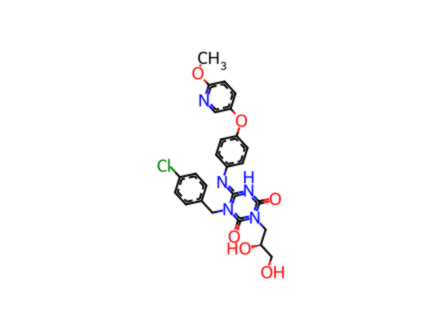 COc1ccc(Oc2ccc(/N=c3\[nH]c(=O)n(C[C@H](O)CO)c(=O)n3Cc3ccc(Cl)cc3)cc2)cn1